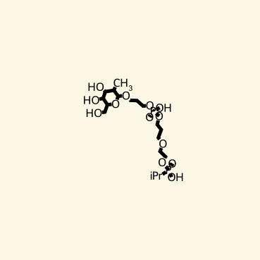 CC1C(OCCCOP(=O)(O)OCCCOCCOP(=O)(O)C(C)C)OC(CO)C(O)C1O